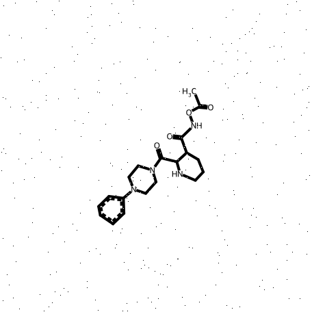 CC(=O)ONC(=O)C1CCCNC1C(=O)N1CCN(c2ccccc2)CC1